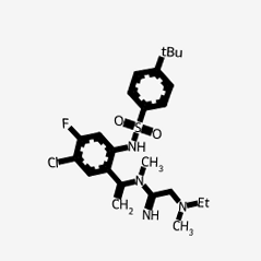 C=C(c1cc(Cl)c(F)cc1NS(=O)(=O)c1ccc(C(C)(C)C)cc1)N(C)C(=N)CN(C)CC